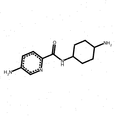 Nc1ccc(C(=O)NC2CCC(N)CC2)nc1